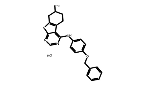 CC1CCc2c(sc3ncnc(Nc4ccc(OCc5ccccc5)cc4)c23)C1.Cl